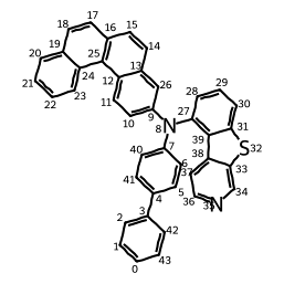 c1ccc(-c2ccc(N(c3ccc4c(ccc5ccc6ccccc6c54)c3)c3cccc4sc5cnccc5c34)cc2)cc1